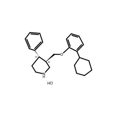 Cl.c1ccc([C@H]2CCNC[C@@H]2COc2ccccc2C2CCCCC2)cc1